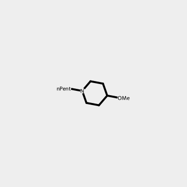 CCCCCN1CC[C](OC)CC1